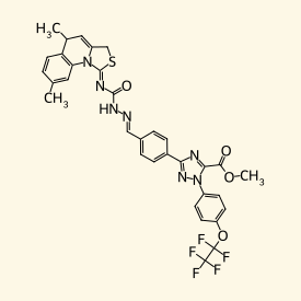 COC(=O)c1nc(-c2ccc(/C=N/NC(=O)/N=C3\SCC4=CC(C)c5ccc(C)cc5N43)cc2)nn1-c1ccc(OC(F)(F)C(F)(F)F)cc1